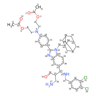 CC(=O)OCCN(CCOC(C)=O)c1ccc(-c2nc3cc(C(NCc4ccc(Cl)c(Cl)c4)C(C=O)CN)ccc3n2CC23CC4CC(CC(C4)C2)C3)cc1